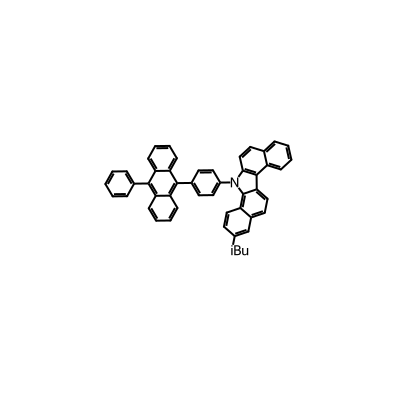 CCC(C)c1ccc2c(ccc3c4c5ccccc5ccc4n(-c4ccc(-c5c6ccccc6c(-c6ccccc6)c6ccccc56)cc4)c23)c1